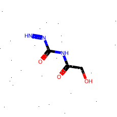 N=NC(=O)NC(=O)CO